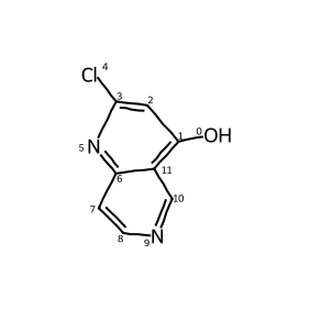 Oc1cc(Cl)nc2ccncc12